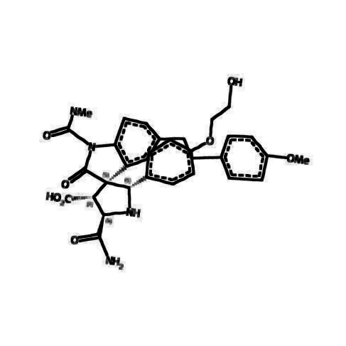 CNC(=O)N1C(=O)[C@@]2(c3cc(CCc4ccc(OC)cc4)ccc31)[C@H](c1ccc(OCCO)cc1)N[C@@H](C(N)=O)[C@@H]2C(=O)O